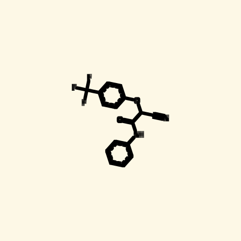 N#CC(Oc1ccc(C(F)(F)F)cc1)C(=O)Nc1ccccc1